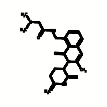 C=C1CCC(n2c(C)nc3cccc(CNC(=O)CN(C)C)c3c2=O)C(=O)N1